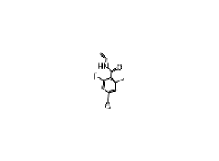 C=CNC(=O)c1c(C)cc(C2CC2)cc1F